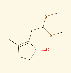 CSC(CC1=C(C)CCC1=O)SC